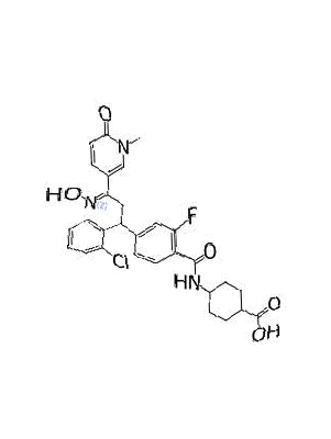 Cn1cc(/C(CC(c2ccc(C(=O)NC3CCC(C(=O)O)CC3)c(F)c2)c2ccccc2Cl)=N\O)ccc1=O